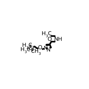 CC1CNCC(c2cnn(COCC[Si](C)(C)C)c2)O1